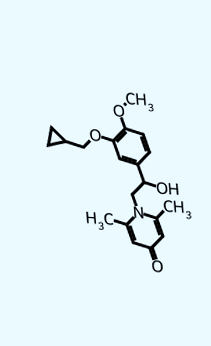 COc1ccc(C(O)Cn2c(C)cc(=O)cc2C)cc1OCC1CC1